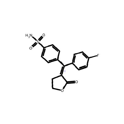 NS(=O)(=O)c1ccc(/C(=C2\CCOC2=O)c2ccc(F)cc2)cc1